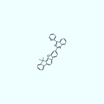 CC1(C)c2ccccc2-c2ccc3c(oc4cc(-c5nc(-c6ccccn6)c6ccccc6n5)ccc43)c21